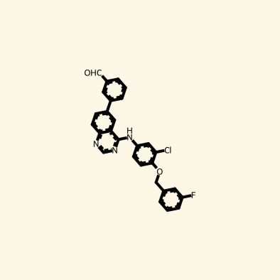 O=Cc1cccc(-c2ccc3ncnc(Nc4ccc(OCc5cccc(F)c5)c(Cl)c4)c3c2)c1